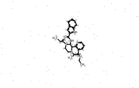 CCOC(=O)c1cccnc1C1C(NC(=O)c2cc3ccccc3[nH]2)N(C(=S)CC)CCN1C(C)C